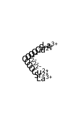 [Cu+2].[Cu+2].[La+3].[La+3].[O-2].[O-2].[O-2].[O-2].[O-2].[O-2].[O-2].[Sr+2].[Sr+2]